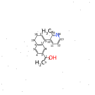 C=C(O)c1ccc2c(c1)C(c1cccnc1C)=CCC2